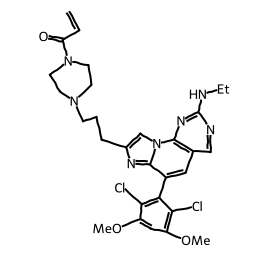 C=CC(=O)N1CCN(CCCc2cn3c(n2)c(-c2c(Cl)c(OC)cc(OC)c2Cl)cc2cnc(NCC)nc23)CC1